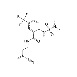 C=C(C#N)CCNC(=O)c1cc(C(F)(F)F)ccc1NS(=O)(=O)N(C)C